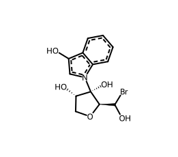 Oc1cn([C@@]2(O)[C@@H](C(O)Br)OC[C@@H]2O)c2ccccc12